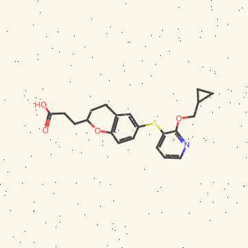 O=C(O)CCC1CCc2cc(Sc3cccnc3OCC3CC3)ccc2O1